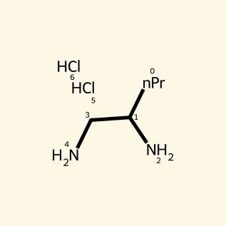 CCCC(N)CN.Cl.Cl